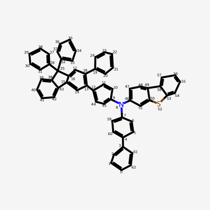 c1ccc(-c2ccc(N(c3ccc(-c4cc5c(cc4-c4ccccc4)C(c4ccccc4)(c4ccccc4)c4ccccc4-5)cc3)c3ccc4c(c3)sc3ccccc34)cc2)cc1